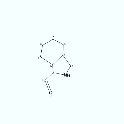 O=[C]C1NCC2CCCCC21